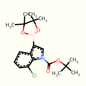 CC(C)(C)OC(=O)n1cc(B2OC(C)(C)C(C)(C)O2)c2cccc(Cl)c21